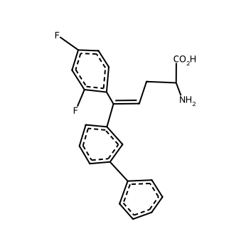 NC(CC=C(c1cccc(-c2ccccc2)c1)c1ccc(F)cc1F)C(=O)O